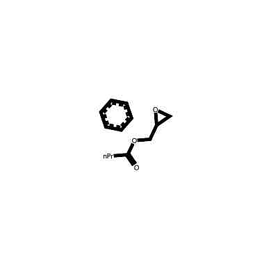 CCCC(=O)OCC1CO1.c1ccccc1